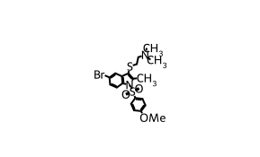 COc1ccc(S(=O)(=O)n2c(C)c(SCCN(C)C)c3cc(Br)ccc32)cc1